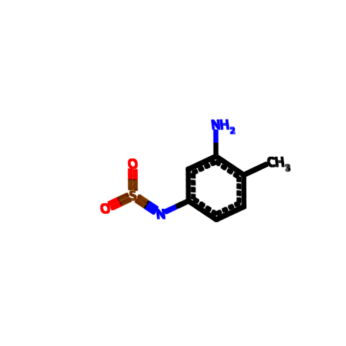 Cc1ccc(N=S(=O)=O)cc1N